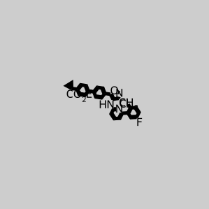 CCOC(=O)C1(c2ccc(-c3ccc(-c4onc(C)c4Nc4cccc(-c5cc(F)ccc5Cl)n4)cc3)cc2)CC1